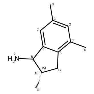 Cc1cc(C)c2c(c1)C(N)[C@@H](C)C2